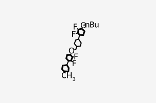 CCCCOc1ccc(C2CCC(COc3ccc(-c4ccc(C)cc4)c(F)c3F)CC2)c(F)c1F